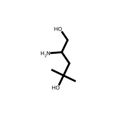 CC(C)(O)CC(N)CO